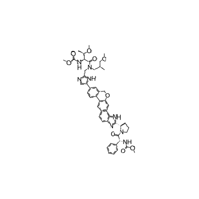 COC[C@@H](C)CN(Cc1ncc(-c2ccc3c(c2)COc2cc4c(ccc5nc([C@@H]6CCCN6C(=O)[C@H](NC(=O)OC)c6ccccc6)[nH]c54)cc2-3)[nH]1)C(=O)[C@@H](NC(=O)OC)[C@@H](C)OC